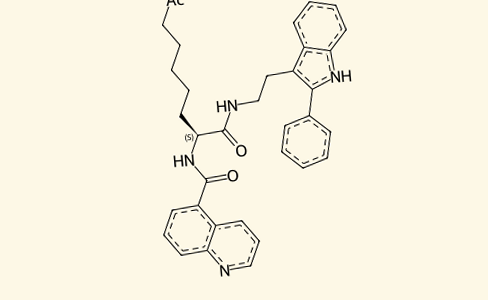 CC(=O)CCCCC[C@H](NC(=O)c1cccc2ncccc12)C(=O)NCCc1c(-c2ccccc2)[nH]c2ccccc12